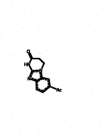 CC(=O)c1ccc2nc3n(c2c1)CCC(=O)N3